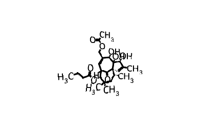 CCCC(=O)O[C@@H]1[C@@H]2C=C(COC(C)=O)[C@@H](O)[C@]3(O)[C@@H](O)C(C)=C[C@@]3(C2=O)[C@H](C)CC1(C)C